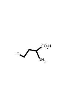 NC(CC[O])C(=O)O